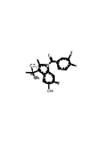 Cc1c([C@](C)(C(=O)O)C(C)(C)C)c2cc(O)c(F)cc2n1C(=O)c1ccc(F)c(F)c1